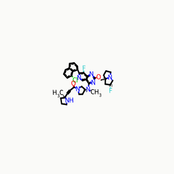 CN(c1nc(OC[C@@]23CCCN2C[C@H](F)C3)nc2c(F)c(-c3cccc4cccc(Cl)c34)ncc12)[C@@H]1CCN(C(=O)C#C[C@]2(C)CCCN2)C1